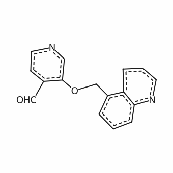 O=Cc1ccncc1OCc1cccc2ncccc12